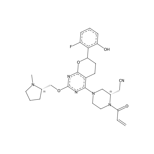 C=CC(=O)N1CCN(c2nc(OC[C@@H]3CCCN3C)nc3c2CCC(c2c(O)cccc2F)O3)C[C@@H]1CC#N